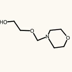 OCCOCN1CCOCC1